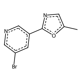 Cc1cnc(-c2cncc(Br)c2)o1